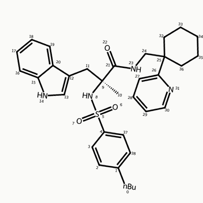 CCCCc1ccc(S(=O)(=O)N[C@@](C)(Cc2c[nH]c3ccccc23)C(=O)NCC2(c3ccccn3)CCCCC2)cc1